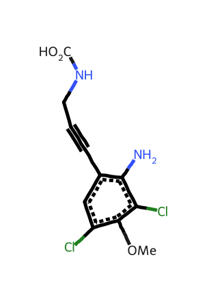 COc1c(Cl)cc(C#CCNC(=O)O)c(N)c1Cl